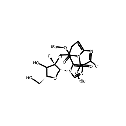 CC1C/C=C(N(C(=O)OC(C)(C)C)C(=O)OC(C)(C)C)/N=C(/Cl)c2ncn([C@@H]3O[C@H](CO)C(O)[C@]3(F)Cl)c21